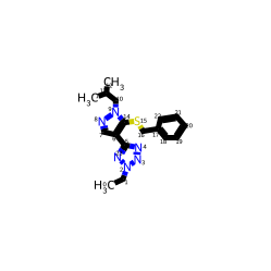 CCn1nnc(-c2cnn(CC(C)C)c2SCc2ccccc2)n1